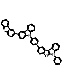 c1ccc(-n2c3ccccc3c3c4cc(-c5ccc(-n6c7ccccc7c7cc(-c8ccc9oc%10ccccc%10c9c8)ccc76)cc5)ccc4oc32)cc1